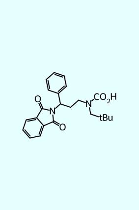 CC(C)(C)CN(CCC(c1ccccc1)N1C(=O)c2ccccc2C1=O)C(=O)O